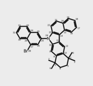 CC1(C)CCC(C)(C)c2cc3c(cc21)c1c2ccccc2ccc1n3-c1cc(Br)c2ccccc2c1